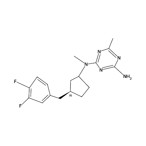 Cc1nc(N)nc(N(C)C2CC[C@@H](Cc3ccc(F)c(F)c3)C2)n1